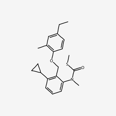 CCc1ccc(OCc2c(C3CC3)cccc2N(C)C(=O)SC)c(C)c1